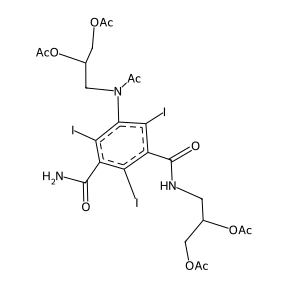 CC(=O)OCC(CNC(=O)c1c(I)c(C(N)=O)c(I)c(N(CC(COC(C)=O)OC(C)=O)C(C)=O)c1I)OC(C)=O